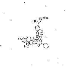 CC(C)(C)NCC(O)c1ccc2c(c1)COP(=O)(OCC(=O)[C@@]13O[C@H](C4CCCCC4)O[C@@H]1C[C@H]1[C@@H]4CCC5=CC(=O)C=C[C@]5(C)[C@H]4[C@@H](O)C[C@@]13C)O2